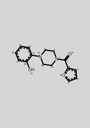 O=C(c1ccco1)N1CCN(c2ccccc2O)CC1